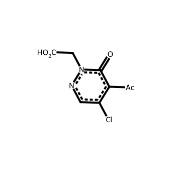 CC(=O)c1c(Cl)cnn(CC(=O)O)c1=O